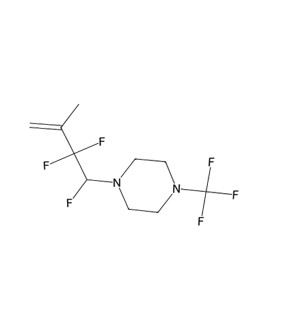 C=C(C)C(F)(F)C(F)N1CCN(C(F)(F)F)CC1